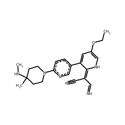 CCOC1=CN/C(=C(/C#N)C=N)C(c2ccc(N3CCC(C)(NC)CC3)nc2)=C1